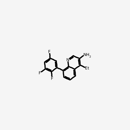 CCc1c(N)cnc2c(-c3cc(F)cc(F)c3F)cccc12